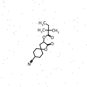 CCC(C)(C)C(=O)OC1CC2(CCC(C#N)CC2)OC1=O